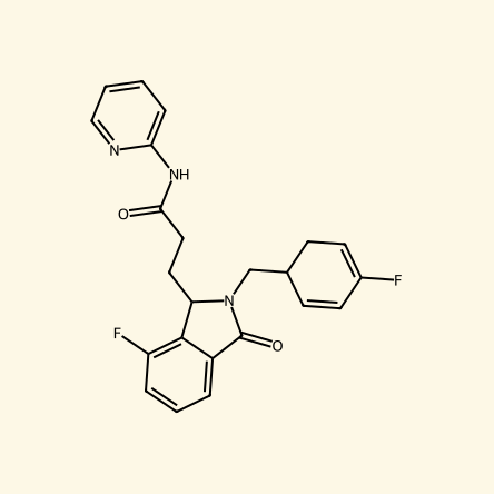 O=C(CCC1c2c(F)cccc2C(=O)N1CC1C=CC(F)=CC1)Nc1ccccn1